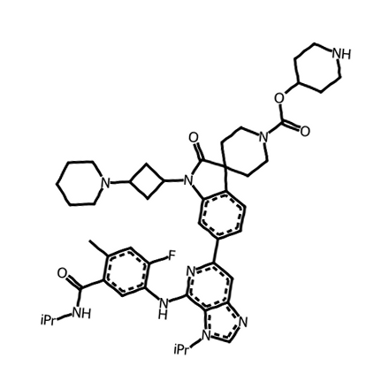 Cc1cc(F)c(Nc2nc(-c3ccc4c(c3)N(C3CC(N5CCCCC5)C3)C(=O)C43CCN(C(=O)OC4CCNCC4)CC3)cc3ncn(C(C)C)c23)cc1C(=O)NC(C)C